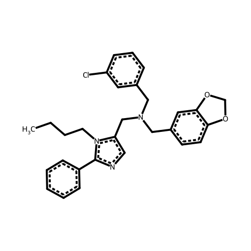 CCCCn1c(CN(Cc2cccc(Cl)c2)Cc2ccc3c(c2)OCO3)cnc1-c1ccccc1